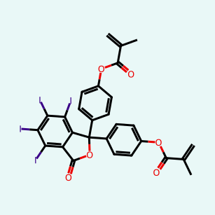 C=C(C)C(=O)Oc1ccc(C2(c3ccc(OC(=O)C(=C)C)cc3)OC(=O)c3c(I)c(I)c(I)c(I)c32)cc1